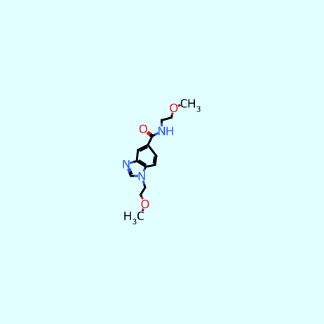 COCCNC(=O)c1ccc2c(c1)ncn2CCOC